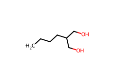 [CH2]CCCC(CO)CO